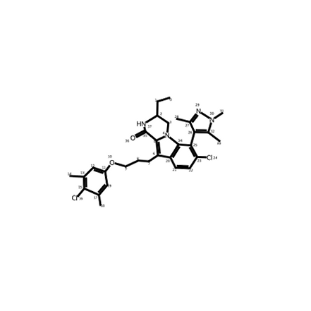 CCC1Cn2c(c(CCCOc3cc(C)c(Cl)c(C)c3)c3ccc(Cl)c(-c4c(C)nn(C)c4C)c32)C(=O)N1